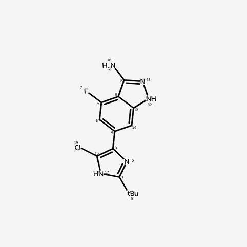 CC(C)(C)c1nc(-c2cc(F)c3c(N)n[nH]c3c2)c(Cl)[nH]1